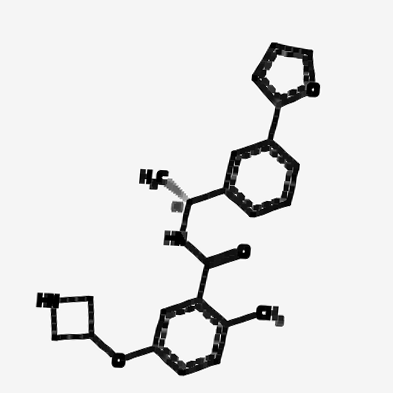 Cc1ccc(OC2CNC2)cc1C(=O)N[C@H](C)c1cccc(-c2ccco2)c1